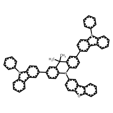 CC1(C)c2cc(-c3ccc4c(c3)c3ccccc3n4-c3ccccc3)ccc2N(c2ccc3oc4ccccc4c3c2)c2ccc(-c3ccc4c(c3)c3ccccc3n4-c3ccccc3)cc21